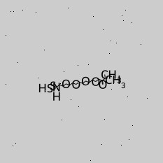 CC(C)C(=O)COCCOCCOCCOCCNSS